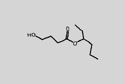 CCCC(CC)OC(=O)CCCO